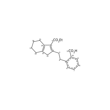 CCOC(=O)C1=C(CCc2ccccc2C(=O)O)CC2=C1CCCC2